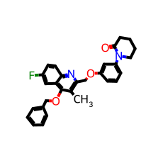 Cc1c(COc2cccc(N3CCCCC3=O)c2)nc2ccc(F)cc2c1OCc1ccccc1